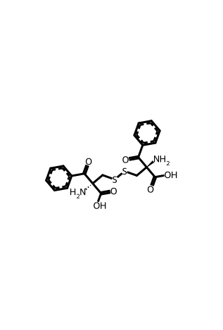 N[C@](CSSC[C@@](N)(C(=O)O)C(=O)c1ccccc1)(C(=O)O)C(=O)c1ccccc1